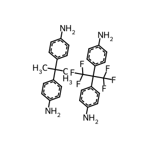 CC(C)(c1ccc(N)cc1)c1ccc(N)cc1.Nc1ccc(C(c2ccc(N)cc2)(C(F)(F)F)C(F)(F)F)cc1